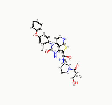 Cc1cc(Oc2ccccc2)ccc1N1C(=O)Nc2c(C(=O)N[C@@H]3CCCN(C(=O)[C@H](C)CO)C3)sc3nccc1c23